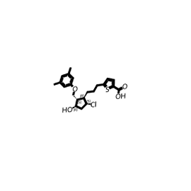 Cc1cc(C)cc(OC[C@@H]2[C@@H](CCCc3ccc(C(=O)O)s3)[C@@H](Cl)C[C@H]2O)c1